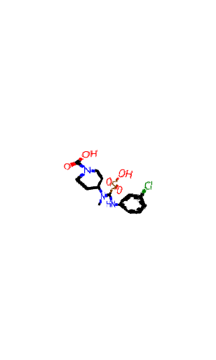 CN(C1CCN(C(=O)O)CC1)C(Nc1cccc(Cl)c1)S(=O)(=O)O